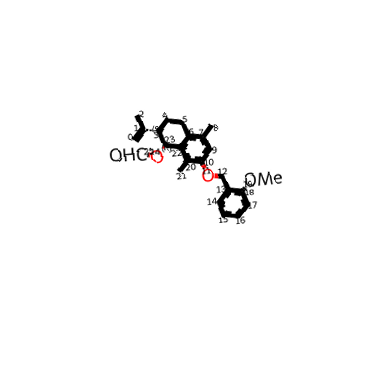 C=C(C)[C@@H]1CCc2c(C)cc(OCc3ccccc3OC)c(C)c2[C@@H]1OC=O